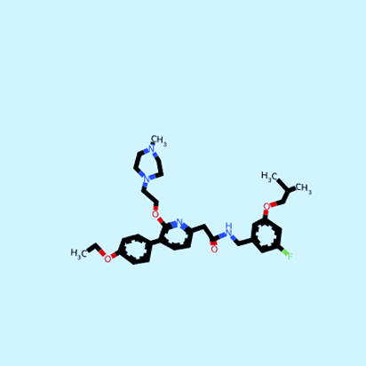 CCOc1ccc(-c2ccc(CC(=O)NCc3cc(F)cc(OCC(C)C)c3)nc2OCCN2CCN(C)CC2)cc1